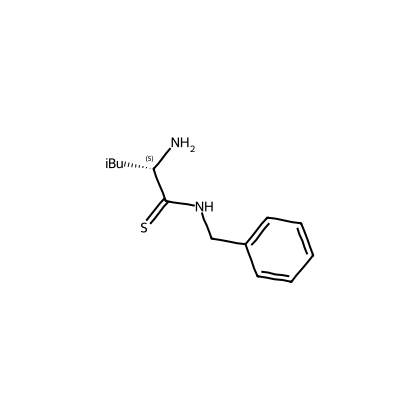 CCC(C)[C@H](N)C(=S)NCc1ccccc1